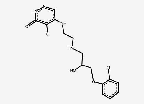 O=c1[nH]ncc(NCCNCC(O)COc2ccccc2Cl)c1Cl